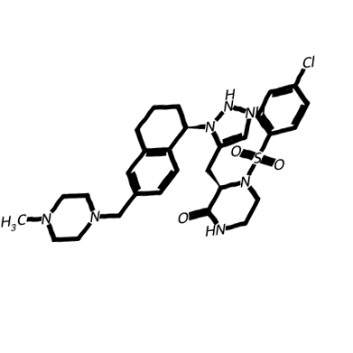 CN1CCN(Cc2ccc3c(c2)CCC[C@H]3N2NNC=C2C[C@@H]2C(=O)NCCN2S(=O)(=O)c2ccc(Cl)cc2)CC1